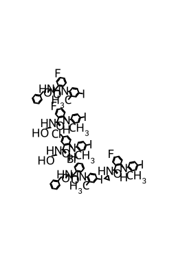 Cc1cc(I)ccc1Nc1ccc(Br)cc1C(=O)NOCc1ccccc1.Cc1cc(I)ccc1Nc1ccc(Cl)cc1C(=O)NCCO.Cc1cc(I)ccc1Nc1ccc(F)cc1C(=O)NC1CC1.Cc1cc(I)ccc1Nc1ccc(F)cc1C(=O)NCCO.Cc1cc(I)ccc1Nc1ccc(F)cc1C(=O)NOCc1ccccc1